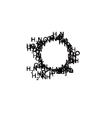 CCCC[C@H]1C(=O)N(C)[C@@H](CCCC)C(=O)N[C@@H](CCCNC(=N)N)C(=O)N[C@H](C(=O)NCC(N)=O)CSCC(=O)N[C@@H](Cc2ccc(O)cc2)C(=O)N([13CH3])[C@@H](C)C(=O)N[C@@H](CC(N)=O)C(=O)N2CCC[C@H]2C(=O)N[C@@H](Cc2cnc[nH]2)C(=O)N[C@@H](CC(C)C)C(=O)N2CCC[C@H]2C(=O)N[C@@H](Cc2c[nH]c3ccccc23)C(=O)N[C@@H](CO)C(=O)N[C@@H](Cc2csc3ccccc23)C(=O)N1C